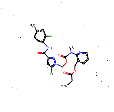 CNCC(=O)OCc1cccnc1N(C)C(=O)OCn1nc(C(=O)Nc2ccc(C)cc2F)cc1Cl